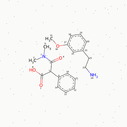 CN(C)C(=O)C(C(=O)O)c1ccccc1.COc1cccc(CCN)c1